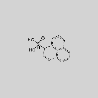 O=[SH](O)(O)C1C=Cc2cccc3cccc1c23